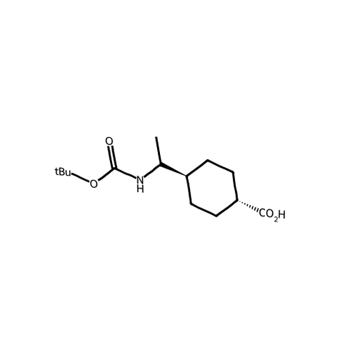 CC(NC(=O)OC(C)(C)C)[C@H]1CC[C@H](C(=O)O)CC1